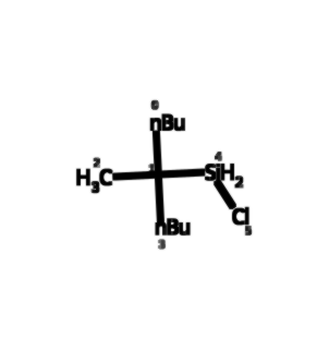 CCCCC(C)(CCCC)[SiH2]Cl